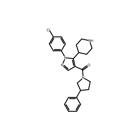 O=C(c1cnn(-c2ccc(Cl)cc2)c1C1CCNCC1)N1CCC(c2ccccc2)C1